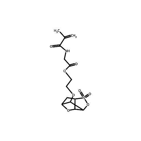 C=C(C)C(=O)NCC(=O)OCCOC1C2CC3C(O2)C1OS3(=O)=O